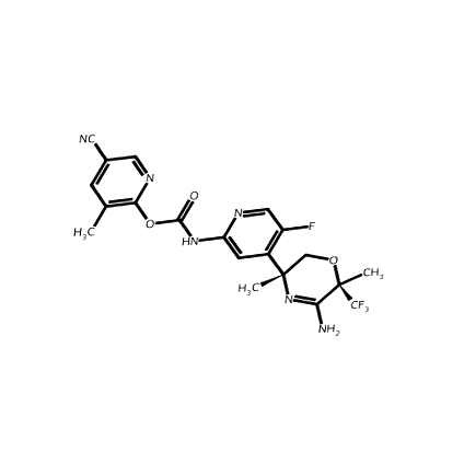 Cc1cc(C#N)cnc1OC(=O)Nc1cc([C@]2(C)CO[C@@](C)(C(F)(F)F)C(N)=N2)c(F)cn1